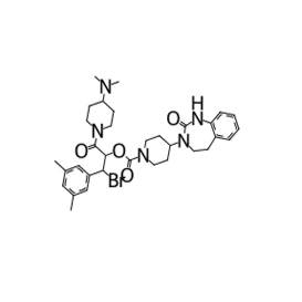 Cc1cc(C)cc(C(Br)C(OC(=O)N2CCC(N3CCc4ccccc4NC3=O)CC2)C(=O)N2CCC(N(C)C)CC2)c1